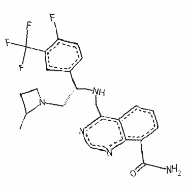 CC1CCN1C[C@@H](Nc1ncnc2c(C(N)=O)cccc12)c1ccc(F)c(C(F)(F)F)c1